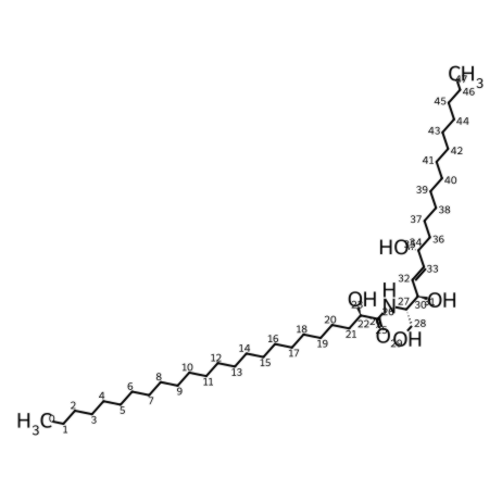 CCCCCCCCCCCCCCCCCCCCCC[C@@H](O)C(=O)N[C@@H](CO)[C@H](O)/C=C/[C@H](O)CCCCCCCCCCCC